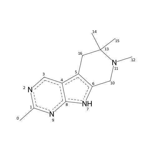 Cc1ncc2c3c([nH]c2n1)CN(C)C(C)(C)C3